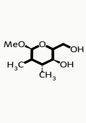 CO[C@H]1OC(CO)[C@@H](O)[C@H](C)C1C